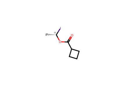 CC(C)[C@H](I)OC(=O)C1CCC1